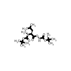 CC(C)C[C@@H](C(=O)ONC(=O)OC(C)(C)C)N(C)C(=O)OC(C)(C)C